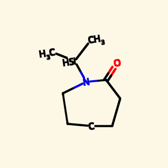 C[SiH](C)N1CCCCCC1=O